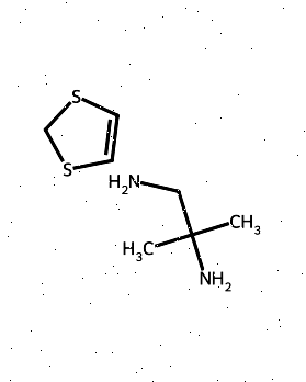 C1=CSCS1.CC(C)(N)CN